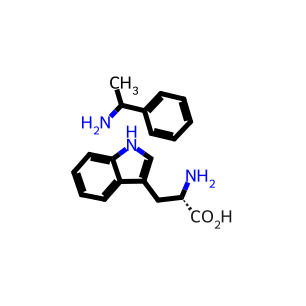 CC(N)c1ccccc1.N[C@@H](Cc1c[nH]c2ccccc12)C(=O)O